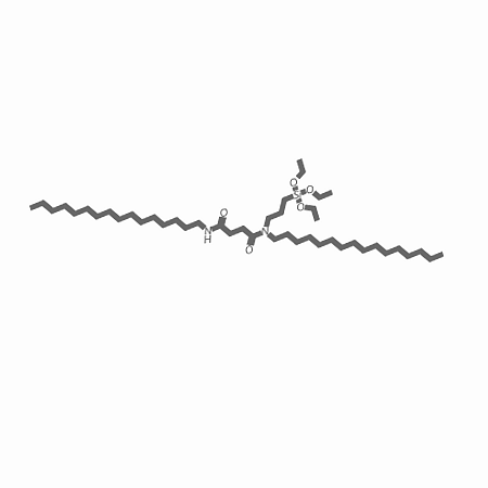 CCCCCCCCCCCCCCCCNC(=O)CCC(=O)N(CCCCCCCCCCCCCCCC)CCC[Si](OCC)(OCC)OCC